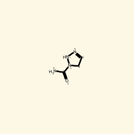 NC(=O)N1CC=NN1